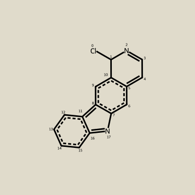 ClC1N=CC=c2cc3c(cc21)=c1ccccc1=N3